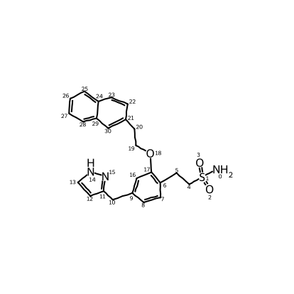 NS(=O)(=O)CCc1ccc(Cc2cc[nH]n2)cc1OCCc1ccc2ccccc2c1